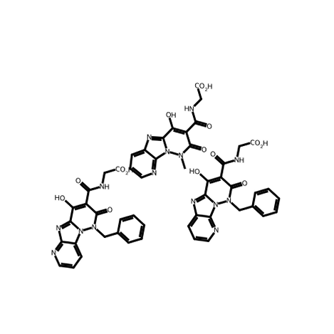 Cn1c(=O)c(C(=O)NCC(=O)O)c(O)c2nc3cccnc3n21.O=C(O)CNC(=O)c1c(O)c2nc3cccnc3n2n(Cc2ccccc2)c1=O.O=C(O)CNC(=O)c1c(O)c2nc3ncccc3n2n(Cc2ccccc2)c1=O